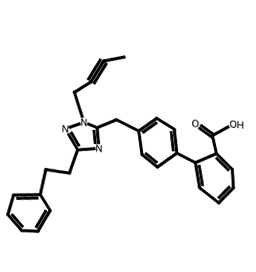 CC#CCn1nc(CCc2ccccc2)nc1Cc1ccc(-c2ccccc2C(=O)O)cc1